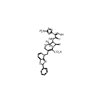 Nc1nc(/C(=N/O)C(=O)NC2C(=O)N3C(C(=O)O)=C(CN4C=CC=C5OC(c6ccccc6)N=C54)CS[C@H]23)ns1